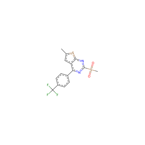 Cc1cc2c(-c3ccc(C(F)(F)F)cc3)nc(S(C)(=O)=O)nc2s1